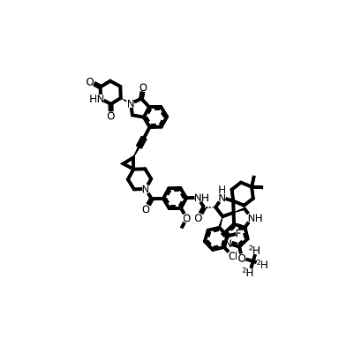 [2H]C([2H])([2H])Oc1cc2c(cn1)[C@]1(CN2)[C@@H](c2cccc(Cl)c2F)[C@H](C(=O)Nc2ccc(C(=O)N3CCC4(CC3)C[C@H]4C#Cc3cccc4c3CN([C@H]3CCC(=O)NC3=O)C4=O)cc2OC)NC12CCC(C)(C)CC2